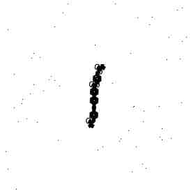 C=C(C)C(=O)Cc1ccc(C#Cc2ccc(-c3ccc(C(=O)Oc4ccc(COC(=O)C(=C)C)cc4)cc3)cc2)cc1